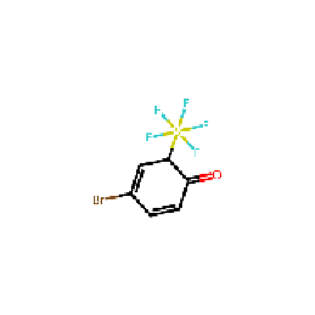 O=C1C=CC(Br)=CC1S(F)(F)(F)(F)F